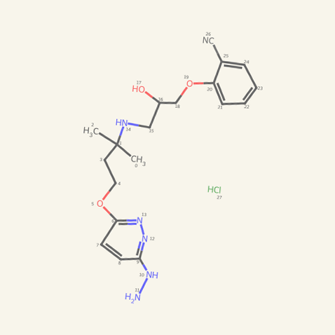 CC(C)(CCOc1ccc(NN)nn1)NCC(O)COc1ccccc1C#N.Cl